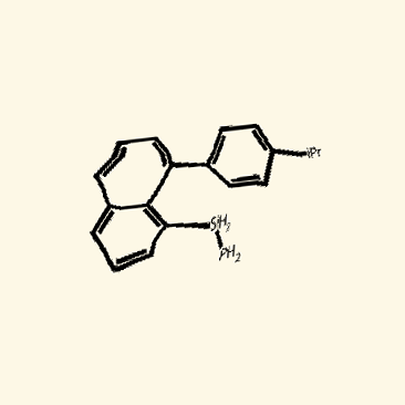 CC(C)c1ccc(-c2cccc3cccc([SiH2]P)c23)cc1